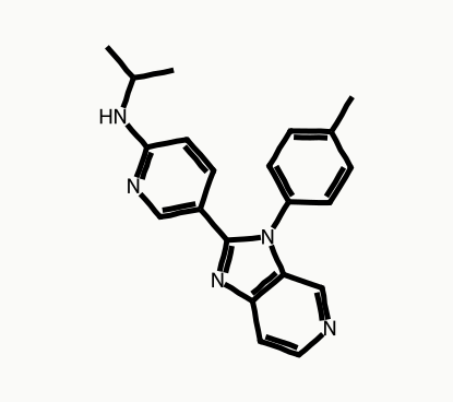 Cc1ccc(-n2c(-c3ccc(NC(C)C)nc3)nc3ccncc32)cc1